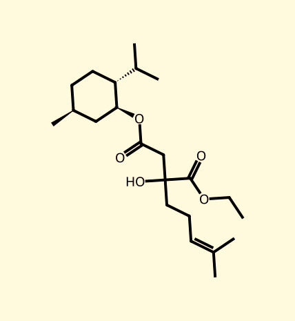 CCOC(=O)C(O)(CCC=C(C)C)CC(=O)O[C@H]1C[C@@H](C)CC[C@@H]1C(C)C